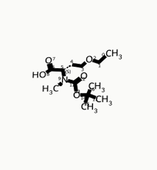 CCOCC[C@@H](C(=O)O)N(C)C(=O)OC(C)(C)C